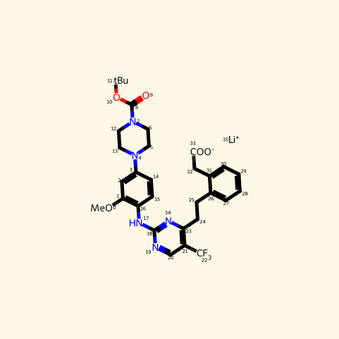 COc1cc(N2CCN(C(=O)OC(C)(C)C)CC2)ccc1Nc1ncc(C(F)(F)F)c(CCc2ccccc2CC(=O)[O-])n1.[Li+]